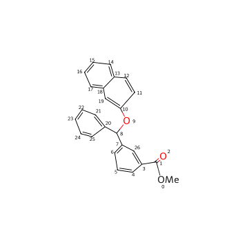 COC(=O)c1cccc(C(Oc2ccc3ccccc3c2)c2ccccc2)c1